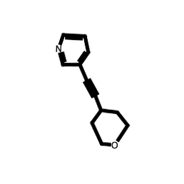 C(#CC1CCOCC1)c1cccnc1